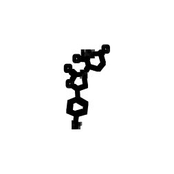 O=C1CCC(N2CC(c3ccc(Br)cc3)OC2=O)C(=O)N1